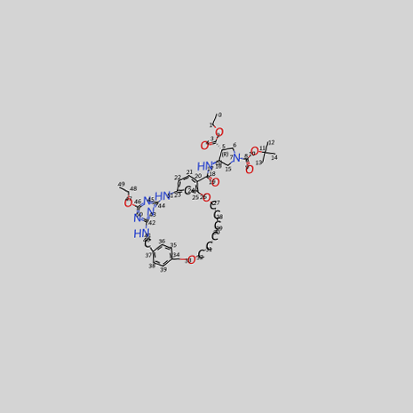 CCOC(=O)[C@@H]1CN(C(=O)OC(C)(C)C)C[C@H]1NC(=O)c1ccc2cc1OCCCCCCOc1ccc(cc1)CNc1nc(nc(OCC)n1)N2